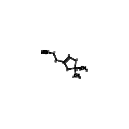 CC1(C)CC=C(CCO)C1